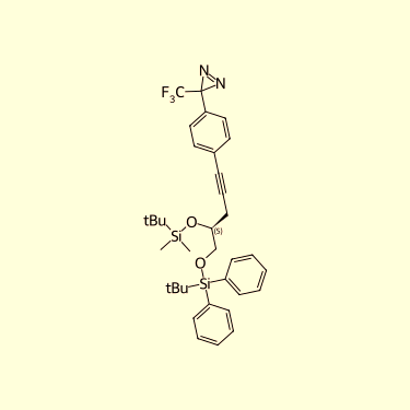 CC(C)(C)[Si](C)(C)O[C@@H](CC#Cc1ccc(C2(C(F)(F)F)N=N2)cc1)CO[Si](c1ccccc1)(c1ccccc1)C(C)(C)C